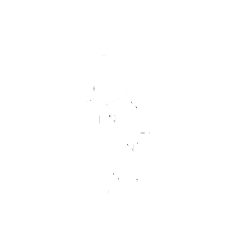 CCN1CCN(C(=O)c2nc3cc(F)ccc3[nH]2)CC1